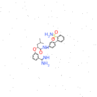 CC(C)CC(Oc1cccc(C(=N)N)c1)C(=O)NCc1ccc(-c2ccccc2S(N)(=O)=O)cc1